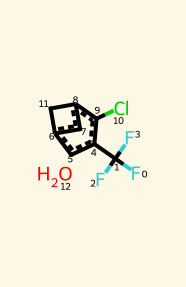 FC(F)(F)c1cc2cc(c1Cl)C2.O